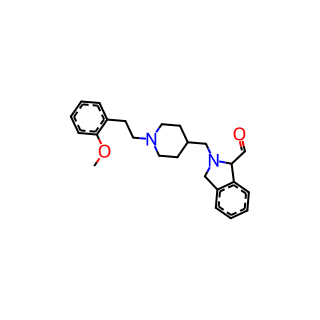 COc1ccccc1CCN1CCC(CN2Cc3ccccc3C2C=O)CC1